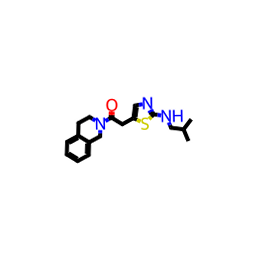 CC(C)CNc1ncc(CC(=O)N2CCc3ccccc3C2)s1